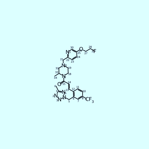 Cc1nnn(Cc2cc(C(F)(F)F)ccc2C=CC(=O)N2CCN(Cc3ccc(OCCF)cn3)CC2C)n1